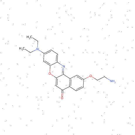 CCN(CC)c1ccc2nc3c4cc(OCCN)ccc4c(=O)cc-3oc2c1